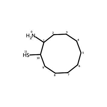 NC1CCCCCCCCC1S